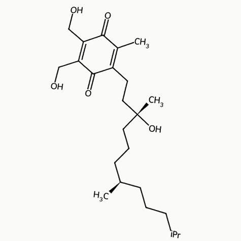 CC1=C(CC[C@](C)(O)CCC[C@H](C)CCCC(C)C)C(=O)C(CO)=C(CO)C1=O